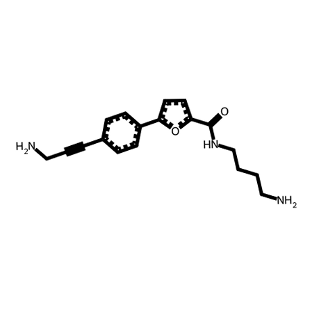 NCC#Cc1ccc(-c2ccc(C(=O)NCCCCN)o2)cc1